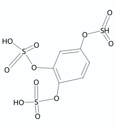 O=[SH](=O)Oc1ccc(OS(=O)(=O)O)c(OS(=O)(=O)O)c1